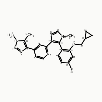 Bn1nnc(-c2ccnc(-c3ncn(C)c3-c3ccc(F)cc3OCC3CC3)c2)c1C